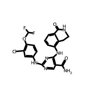 NC(=O)c1cnc(Nc2ccc(OC(F)F)c(Cl)c2)nc1Nc1cccc2c1CCNC2=O